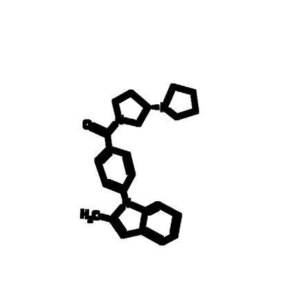 Cc1cc2ccccc2n1-c1ccc(C(=O)N2CC[C@H](N3CCCC3)C2)cc1